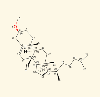 CO[C@H]1CC[C@@]2(C)C(=CC[C@H]3[C@@H]4CC[C@H]([C@H](C)CCCC(C)C)[C@@]4(C)CC[C@@H]32)C1